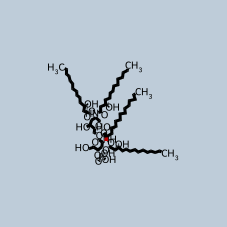 CCCCCCCCCCC[C@@H](O)CC(=O)NC1COC(COC2OC(CO)C(OP(=O)(O)O)C(OC(=O)C[C@H](O)CCCCCCCCCCC)C2NC(=O)C[C@H](O)CCCCCCCCCCC)C(O)C1OC(=O)C[C@H](O)CCCCCCCCCCC